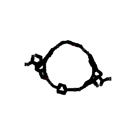 O=CC1=C(C(=O)O)C2c3ccc4cc3C1c1ccc(cc12)OCc1ccc(cc1)COc1ccc2c(c1)C1C(C(=O)O)=C(C=O)C2c2cc(ccc21)OCc1ccc(cc1)CO4